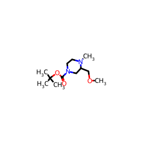 COCC1CN(C(=O)OC(C)(C)C)CCN1C